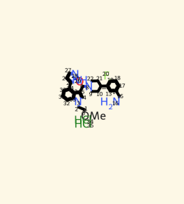 COCCn1cc(C(=O)N2CCC(c3cc(CN)ccc3F)CC2)c2c(-c3ccn[nH]3)cccc21.Cl.Cl